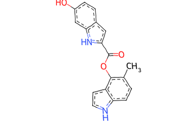 Cc1ccc2[nH]ccc2c1OC(=O)c1cc2ccc(O)cc2[nH]1